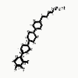 CCCCC/C=C/CCC1CCC(C2CCC(C3CC=C(c4ccc(C)c(F)c4F)CC3)CC2)CC1